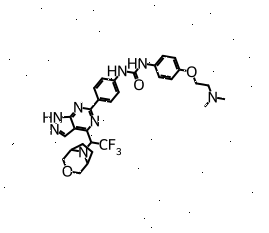 CN(C)CCOc1ccc(NC(=O)Nc2ccc(-c3nc(C(N4C5CCC4COC5)C(F)(F)F)c4cn[nH]c4n3)cc2)cc1